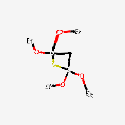 CCO[Si]1(OCC)C[Si](OCC)(OCC)S1